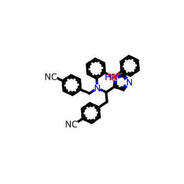 N#Cc1ccc(CC(c2cnc[nH]2)N(Cc2ccc(C#N)cc2)c2ccccc2Oc2ccccc2)cc1